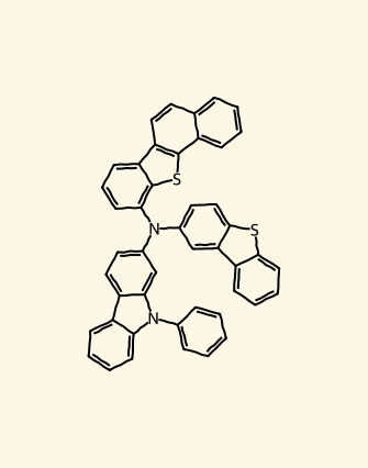 c1ccc(-n2c3ccccc3c3ccc(N(c4ccc5sc6ccccc6c5c4)c4cccc5c4sc4c6ccccc6ccc54)cc32)cc1